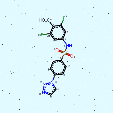 O=C(O)c1c(F)cc(NS(=O)(=O)c2ccc(-n3ccnn3)cc2)cc1F